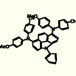 COc1ccc(N(c2ccc(C#N)cc2)c2ccc3c4c2ccc2c(N(c5ccc(C#N)cc5)c5ccc(OC)cc5)ccc(c24)n3-c2ccccc2)cc1